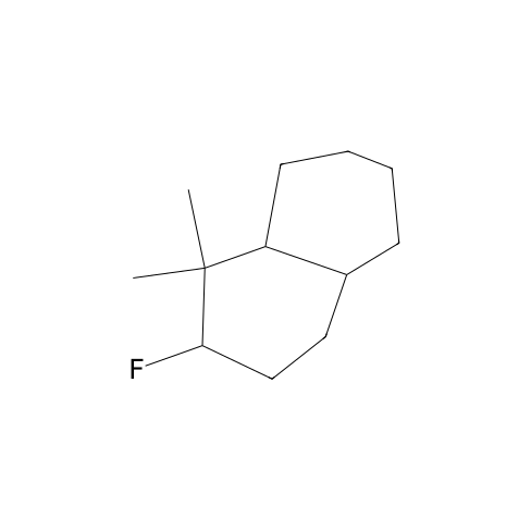 CC1(C)C(F)CCC2CCCCC21